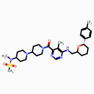 Cc1c(NCC2CCC[C@@H](c3ccc(C(F)(F)F)cc3)O2)ncnc1C(=O)N1CCC(N2CCC(N(C)S(C)(=O)=O)CC2)CC1